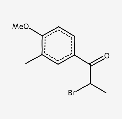 COc1ccc(C(=O)C(C)Br)cc1C